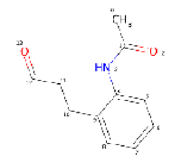 CC(=O)Nc1ccccc1CCC=O